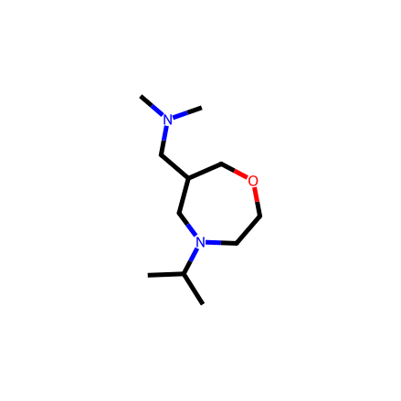 CC(C)N1CCOCC(CN(C)C)C1